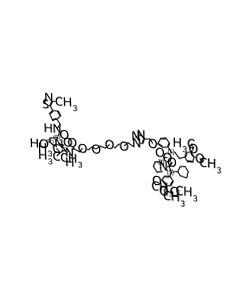 COc1ccc(CC[C@H](OC(=O)[C@H]2CCCCN2C(=O)[C@H](c2cc(OC)c(OC)c(OC)c2)C2CCCCC2)c2cccc(OCc3cn(CCOCCOCCOCCOCC(=O)N[C@H](C(=O)N4C[C@H](O)C[C@H]4C(=O)NCc4ccc(-c5scnc5C)cc4)C(C)(C)C)nn3)c2)cc1OC